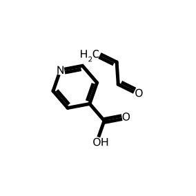 C=CC=O.O=C(O)c1ccncc1